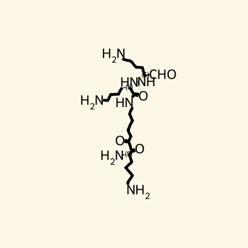 NCCCC[C@@H](C=O)NN[C@@H](CCCCN)C(=O)NCCCCCC(=O)C(=O)[C@@H](N)CCCCN